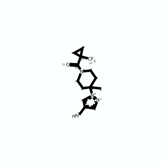 CCCc1cnn(C2(C)CCN(C(=O)C3(C(F)(F)F)CC3)CC2)c1